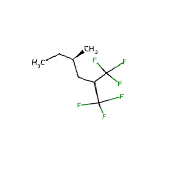 CC[C@@H](C)CC(C(F)(F)F)C(F)(F)F